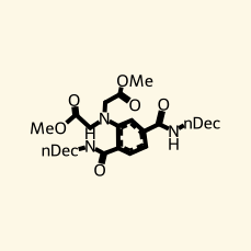 CCCCCCCCCCNC(=O)c1ccc(C(=O)NCCCCCCCCCC)c(N(CC(=O)OC)CC(=O)OC)c1